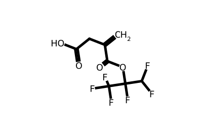 C=C(CC(=O)O)C(=O)OC(F)(C(F)F)C(F)(F)F